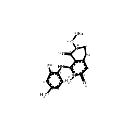 Cc1ccc(Nc2c3c(cc(=O)n2C)CCN(OC(C)(C)C)C3=O)c(F)c1